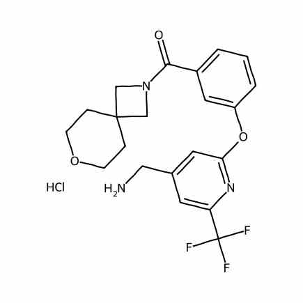 Cl.NCc1cc(Oc2cccc(C(=O)N3CC4(CCOCC4)C3)c2)nc(C(F)(F)F)c1